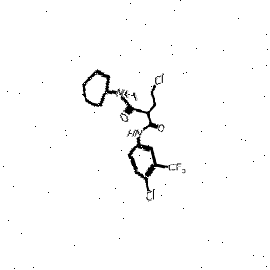 O=C(Nc1ccc(Cl)c(C(F)(F)F)c1)C(CCCl)C(=O)NC1CCCCC1